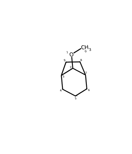 COC1C2C[CH]CC1CC2